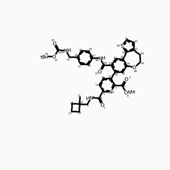 COC(=O)c1nc(C(=O)NCC2(C)CCC2)ccc1-c1cc2c(cc1C(=O)Nc1ccc(CNC(=O)OC(C)(C)C)cc1)-c1sccc1CCO2